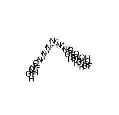 C[N+](C)(C)C.C[N+](C)(C)C.C[N+](C)(C)C.C[N+](C)(C)C.C[N+](C)(C)C.C[N+](C)(C)C.O=[PH]([O-])F.O=[PH]([O-])F.O=[PH]([O-])F.O=[PH]([O-])F.O=[PH]([O-])F.O=[PH]([O-])F